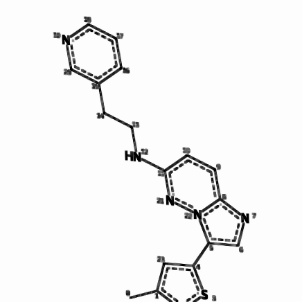 Cc1csc(-c2cnc3ccc(NCCc4cccnc4)nn23)c1